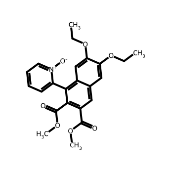 CCOc1cc2cc(C(=O)OC)c(C(=O)OC)c(-c3cccc[n+]3[O-])c2cc1OCC